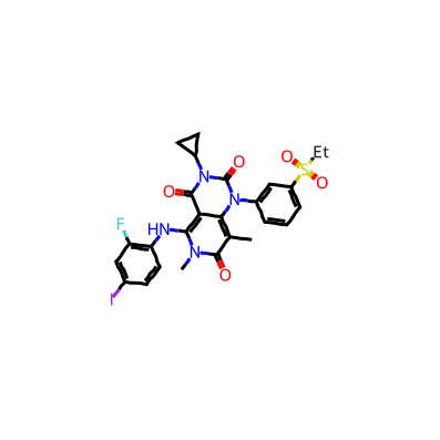 CCS(=O)(=O)c1cccc(-n2c(=O)n(C3CC3)c(=O)c3c(Nc4ccc(I)cc4F)n(C)c(=O)c(C)c32)c1